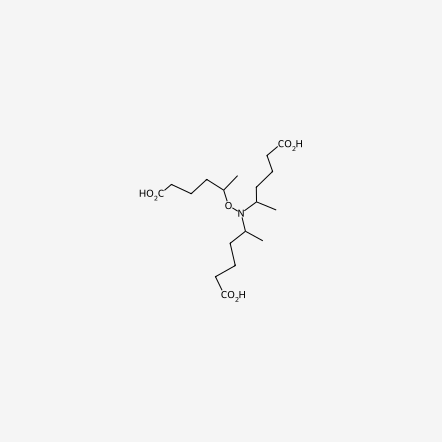 CC(CCCC(=O)O)ON(C(C)CCCC(=O)O)C(C)CCCC(=O)O